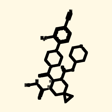 Cc1cc(C#N)ccc1N1CCN(C(=O)[C@@H]2[C@@H](C(=O)NO)CC3(CC3)CN2C(=O)OC2CCOCC2)CC1